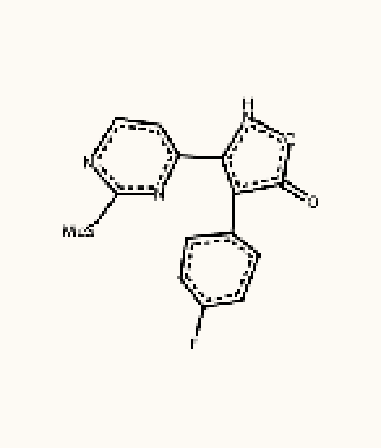 CSc1nccc(-c2[nH]oc(=O)c2-c2ccc(F)cc2)n1